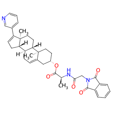 C[C@H](NC(=O)CN1C(=O)c2ccccc2C1=O)C(=O)O[C@H]1CC[C@@]2(C)C(=CC[C@@H]3[C@@H]2CC[C@]2(C)C(c4cccnc4)=CC[C@@H]32)C1